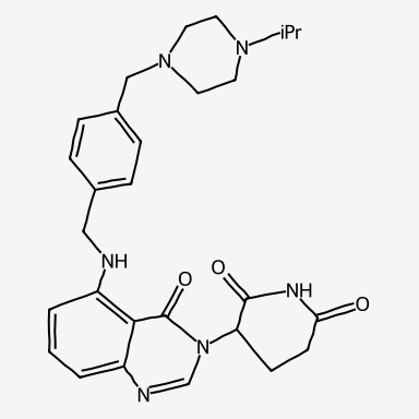 CC(C)N1CCN(Cc2ccc(CNc3cccc4ncn(C5CCC(=O)NC5=O)c(=O)c34)cc2)CC1